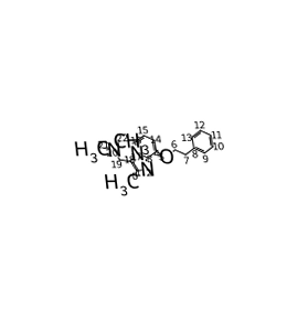 Cc1nc2c(OCCc3ccccc3)cccn2c1CN(C)C